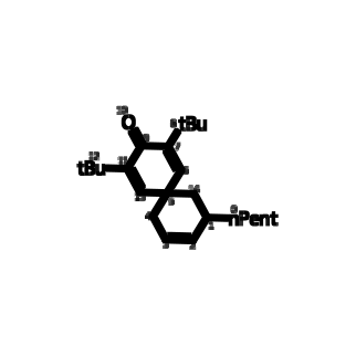 CCCCCC1C=CCC2(C=C(C(C)(C)C)C(=O)C(C(C)(C)C)=C2)C1